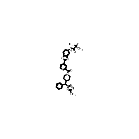 Cc1nnn(C(c2ccccc2)C2CCN(C(=O)c3cc(-c4nc5cc(NC(=O)C(C)(C)F)ccc5o4)ccn3)CC2)n1